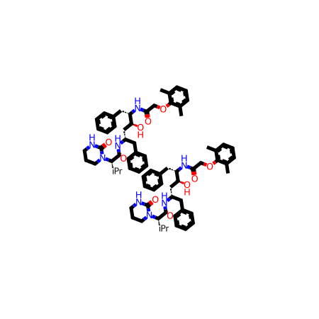 Cc1cccc(C)c1OCC(=O)N[C@@H](Cc1ccccc1)[C@@H](O)C[C@H](Cc1ccccc1)NC(=O)[C@H](C(C)C)N1CCCNC1=O.Cc1cccc(C)c1OCC(=O)N[C@@H](Cc1ccccc1)[C@@H](O)C[C@H](Cc1ccccc1)NC(=O)[C@H](C(C)C)N1CCCNC1=O